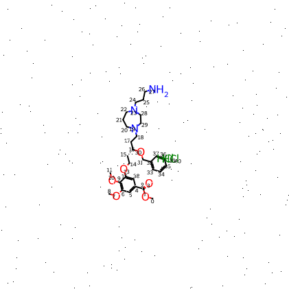 COC(=O)c1cc(OC)c(OC)c(OCC[C@H](CCN2CCCN(CCCN)CC2)OCc2ccccc2)c1.Cl.Cl